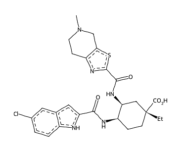 CC[C@@]1(C(=O)O)CC[C@@H](NC(=O)c2cc3cc(Cl)ccc3[nH]2)[C@@H](NC(=O)c2nc3c(s2)CN(C)CC3)C1